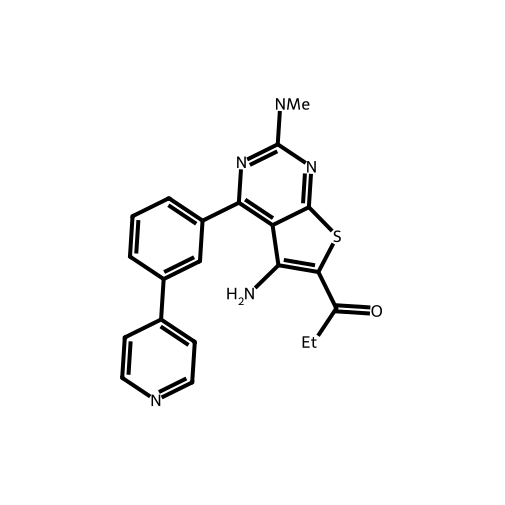 CCC(=O)c1sc2nc(NC)nc(-c3cccc(-c4ccncc4)c3)c2c1N